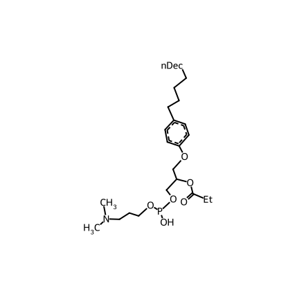 CCCCCCCCCCCCCCc1ccc(OCC(COP(O)OCCCN(C)C)OC(=O)CC)cc1